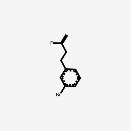 C=C(F)CCc1cccc(Br)c1